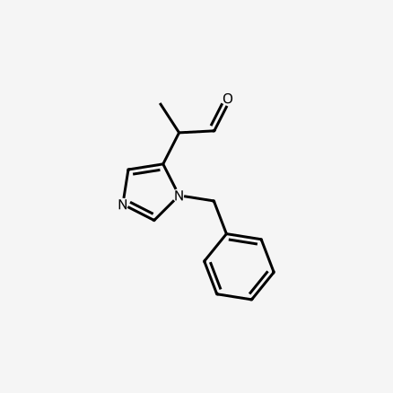 CC(C=O)c1cncn1Cc1ccccc1